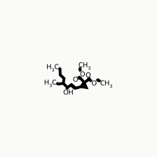 CCCCC(CC)C(O)C=CC1CC1(C(=O)OCC)C(=O)OCC